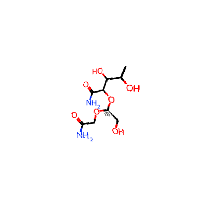 CC(O)C(O)C(O[C@@H](CO)OCC(N)=O)C(N)=O